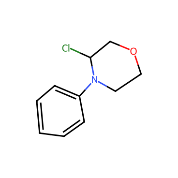 ClC1COCCN1c1ccccc1